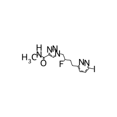 CNC(=O)c1cn(CC(F)CCc2ccc(I)nn2)nn1